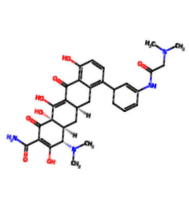 CN(C)CC(=O)NC1=CC(c2ccc(O)c3c2C[C@H]2C[C@H]4[C@H](N(C)C)C(O)=C(C(N)=O)C(=O)[C@@]4(O)C(O)=C2C3=O)CC=C1